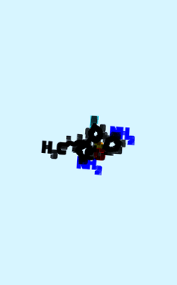 CCCCCc1cc(F)ccc1P(=O)(c1cccc(N)c1)c1cccc(N)c1